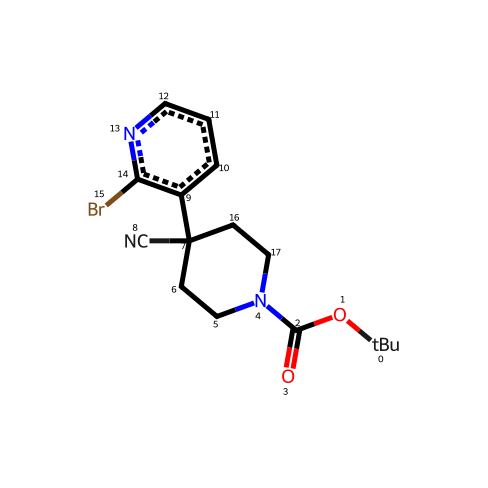 CC(C)(C)OC(=O)N1CCC(C#N)(c2cccnc2Br)CC1